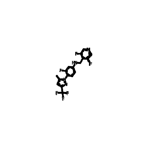 Cc1cc(C(F)(F)F)nn1-c1ccc(NCc2c(F)cncc2F)cc1F